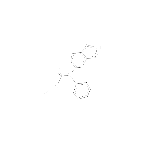 CCONC(=O)N(c1ccccc1)c1ncc2c[nH]nc2n1